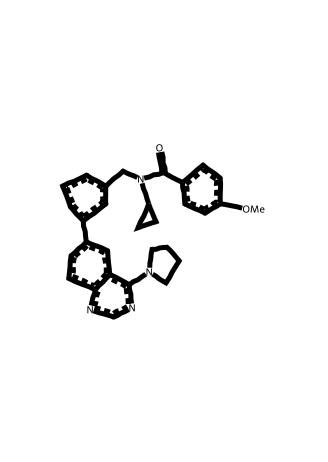 COc1ccc(C(=O)N(Cc2cccc(-c3ccc4ncnc(N5CCCC5)c4c3)c2)C2CC2)cc1